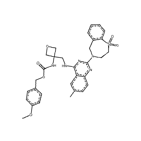 COc1ccc(COC(=O)NC2(CNc3nc(N4CCS(=O)(=O)c5ccccc5C4)nc4ccc(C)cc34)COC2)cc1